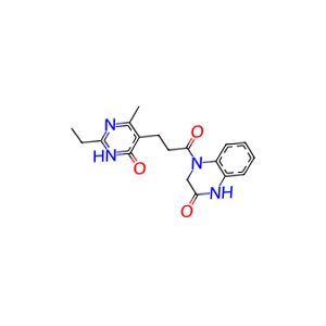 CCc1nc(C)c(CCC(=O)N2CC(=O)Nc3ccccc32)c(=O)[nH]1